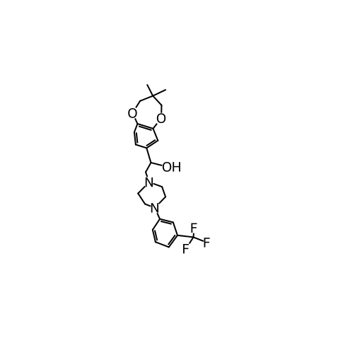 CC1(C)COc2ccc(C(O)CN3CCN(c4cccc(C(F)(F)F)c4)CC3)cc2OC1